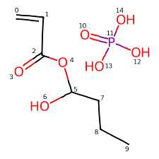 C=CC(=O)OC(O)CCC.O=P(O)(O)O